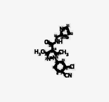 Cc1nn(-c2ccc(C#N)c(Cl)c2)c(C)c1C(=O)NCc1nccs1